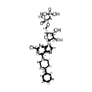 O=P(O)(O)CP(=O)(O)OC[C@H]1O[C@@H](n2cnc3c(N4CCC(c5ccccc5)CC4)nc(Cl)nc32)C(O)[C@H]1O